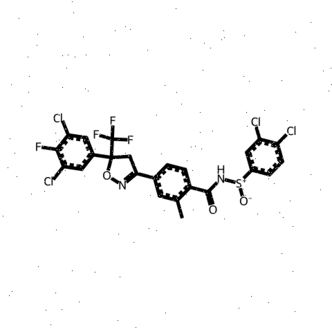 Cc1cc(C2=NOC(c3cc(Cl)c(F)c(Cl)c3)(C(F)(F)F)C2)ccc1C(=O)N[S+]([O-])c1ccc(Cl)c(Cl)c1